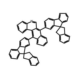 c1ccc2c(c1)CC1(C2)c2ccccc2-c2ccc(-c3c4ccccc4c(-c4ccc5c(c4)C4(Cc6ccccc6C4)c4ccccc4-5)c4c3cnc3ccccc34)cc21